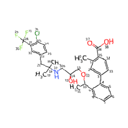 Cc1cc(-c2ccccc2C(C)OC[C@@H](O)CNC(C)(C)Cc2ccc(Cl)c(C(F)(F)F)c2)ccc1C(=O)O